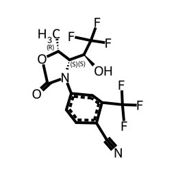 C[C@H]1OC(=O)N(c2ccc(C#N)c(C(F)(F)F)c2)[C@H]1[C@H](O)C(F)(F)F